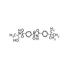 CC(CO)NS(=O)(=O)c1ccc(S(=O)(=O)NC(=O)c2ccc(C(C)(C)C)cc2)cc1